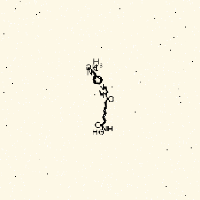 CC(=NO)c1ccc(N2CCN(C(=O)CCCCCCC(=O)NO)CC2)cc1